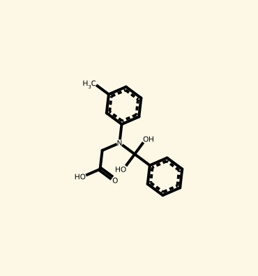 Cc1cccc(N(CC(=O)O)C(O)(O)c2ccccc2)c1